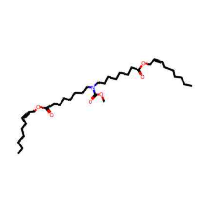 CCCCCC/C=C\COC(=O)CCCCCCCN(CCCCCCCC(=O)OC/C=C\CCCCCC)C(=O)OC